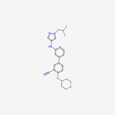 N#Cc1cc(-c2ccnc(Nc3cnn(CC(F)F)c3)c2)ccc1OC1CCOCC1